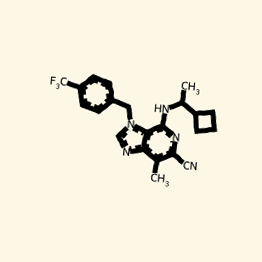 Cc1c(C#N)nc(NC(C)C2CCC2)c2c1ncn2Cc1ccc(C(F)(F)F)cc1